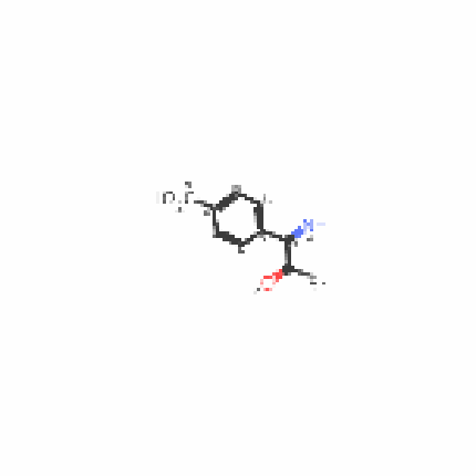 CCC(=O)C(=N)c1ccc(C(=O)O)cc1